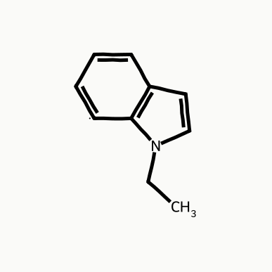 CCn1ccc2ccc[c]c21